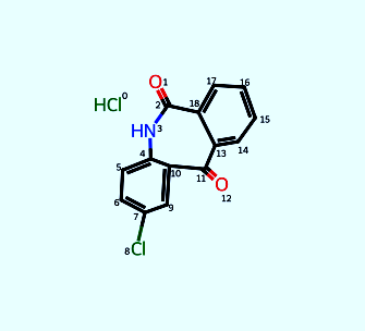 Cl.O=c1[nH]c2ccc(Cl)cc2c(=O)c2ccccc12